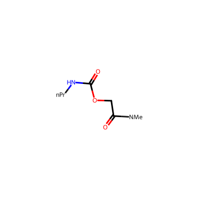 CCCNC(=O)OCC(=O)NC